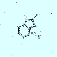 Clc1nc2ccccc2o1.[H+].[SiH4]